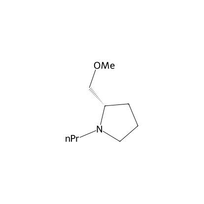 CCCN1CCC[C@H]1COC